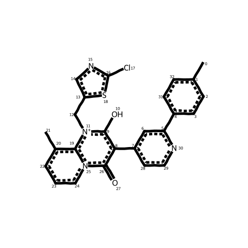 Cc1ccc(-c2cc(-c3c(O)[n+](Cc4cnc(Cl)s4)c4c(C)cccn4c3=O)ccn2)cc1